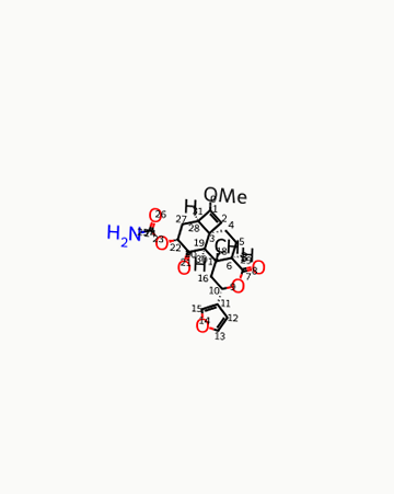 COC1=C[C@@]23CC[C@H]4C(=O)O[C@H](c5ccoc5)C[C@]4(C)[C@H]2C(=O)[C@@H](OC(N)=O)C[C@@H]13